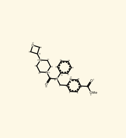 COC(=O)c1ccc(CN(C(=O)N2CCN(C3COC3)CC2)c2ccccc2)nc1